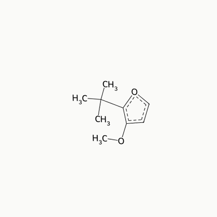 COc1ccoc1C(C)(C)C